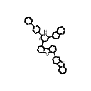 c1ccc(-c2ccc(C3N=C(c4cccc5oc6c(-c7ccc8c(c7)oc7ccccc78)cccc6c45)CC(c4ccc5ccccc5c4)N3)cc2)cc1